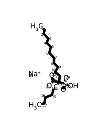 CCCCCCCCCCCCC(CCCCCC)(C(=O)[O-])S(=O)(=O)O.[Na+]